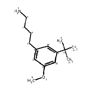 COc1cc(CCCCN)cc(C(C)(C)C)c1